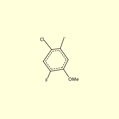 [CH2]c1cc(OC)c(F)cc1Cl